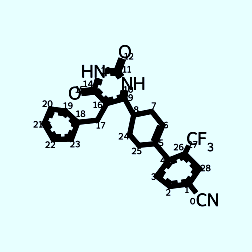 N#Cc1ccc(C2=CCC(c3[nH]c(=O)[nH]c(=O)c3Cc3ccccc3)CC2)c(C(F)(F)F)c1